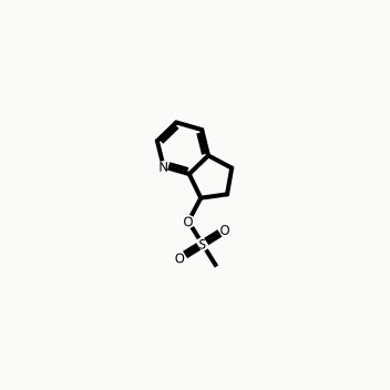 CS(=O)(=O)OC1CCc2cccnc21